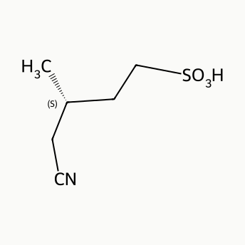 C[C@@H](CC#N)CCS(=O)(=O)O